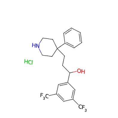 Cl.OC(CCC1(c2ccccc2)CCNCC1)c1cc(C(F)(F)F)cc(C(F)(F)F)c1